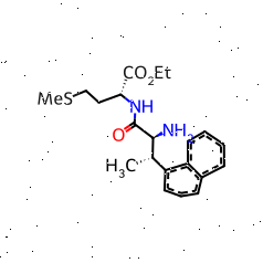 CCOC(=O)[C@@H](CCSC)NC(=O)[C@@H](N)[C@@H](C)c1cccc2ccccc12